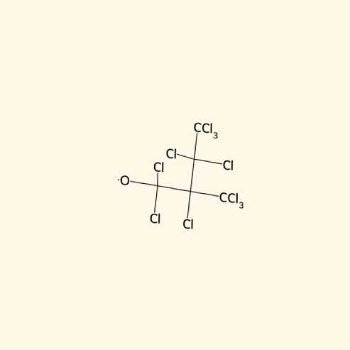 [O]C(Cl)(Cl)C(Cl)(C(Cl)(Cl)Cl)C(Cl)(Cl)C(Cl)(Cl)Cl